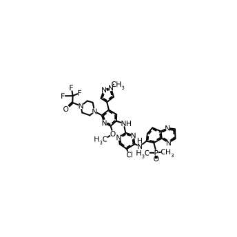 COc1nc(N2CCN(C(=O)C(F)(F)F)CC2)c(-c2cnn(C)c2)cc1Nc1ncc(Cl)c(Nc2ccc3nccnc3c2P(C)(C)=O)n1